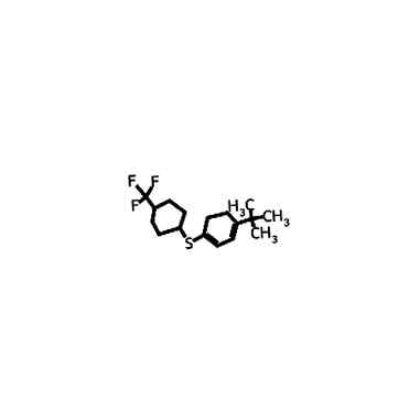 CC(C)(C)C1=CC=C(SC2CCC(C(F)(F)F)CC2)CC1